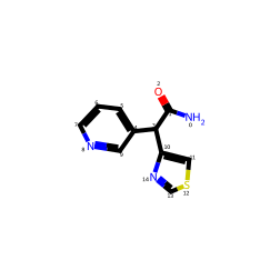 NC(=O)C(c1cccnc1)c1cscn1